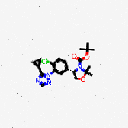 CC(C)(C)OC(=O)N1[C@@H](c2ccc(Cl)c(-n3ncnc3C3CC3)c2)COC1(C)C